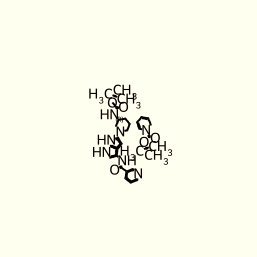 CC(C)(C)OC(=O)N1C=CC=CC1.CC(C)(C)OC(=O)N[C@@H]1CCCN(c2cc3c(NC(=O)c4cccnc4)c[nH]c3[nH]2)C1